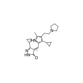 Cc1[nH]c(/C=C2/C(=O)NN=C2C2CC2)c(C2CC2)c1CCN1CCCC1